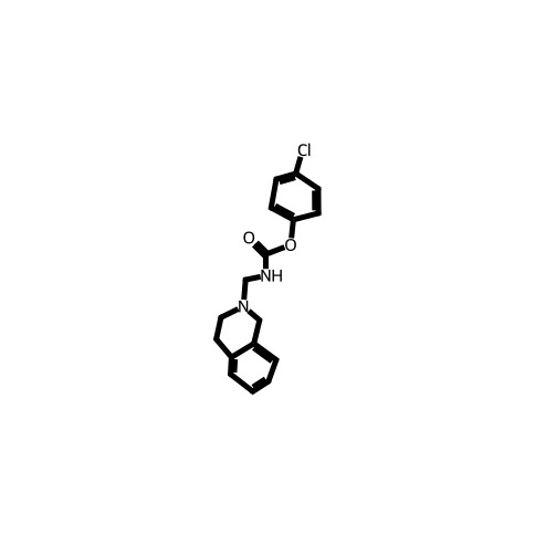 O=C(NCN1CCc2ccccc2C1)Oc1ccc(Cl)cc1